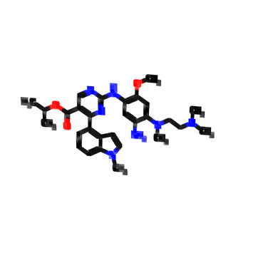 COc1cc(N(C)CCN(C)C)c(N)cc1Nc1ncc(C(=O)OC(C)C)c(-c2cccc3c2ccn3C)n1